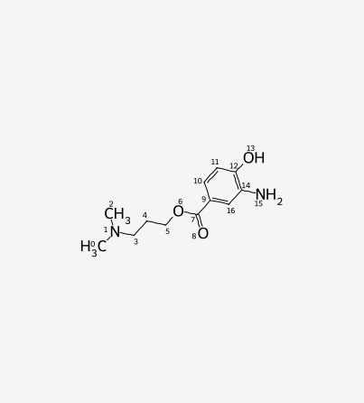 CN(C)CCCOC(=O)c1ccc(O)c(N)c1